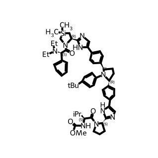 CCN(CC)[C@H](C(=O)N1C[Si](C)(C)C[C@H]1c1ncc(-c2ccc([C@H]3CC[C@H](c4ccc(-c5cnc([C@@H]6CCCN6C(=O)[C@@H](NC(=O)OC)C(C)C)[nH]5)cc4)N3c3ccc(C(C)(C)C)cc3)cc2)[nH]1)c1ccccc1